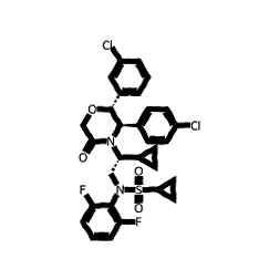 O=C1CO[C@H](c2cccc(Cl)c2)[C@@H](c2ccc(Cl)cc2)N1[C@@H](CN(c1c(F)cccc1F)S(=O)(=O)C1CC1)C1CC1